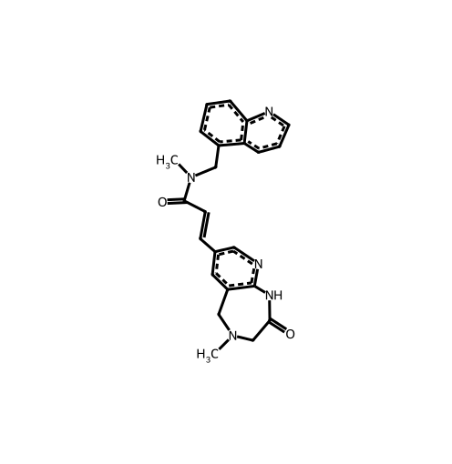 CN1CC(=O)Nc2ncc(C=CC(=O)N(C)Cc3cccc4ncccc34)cc2C1